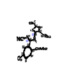 CCCCn1nc(C(C)(C)C)s/c1=N\C(=N\C#N)c1cc(Cl)ccc1OC